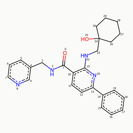 O=C(NCc1cccnc1)c1ccc(-c2ccccc2)nc1NCC1(O)CCCCC1